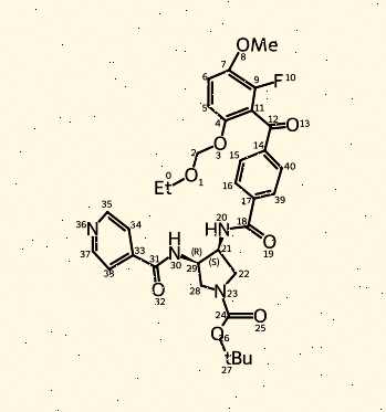 CCOCOc1ccc(OC)c(F)c1C(=O)c1ccc(C(=O)N[C@H]2CN(C(=O)OC(C)(C)C)C[C@H]2NC(=O)c2ccncc2)cc1